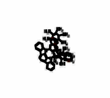 Bc1c(B)c(B)c(-c2cc(-c3c(B)c(B)c(B)c(O)c3B)cc(-n3c4ccccc4c4ccc5c6ccccc6n(-c6nc(-c7ccccc7)nc(-c7ccccc7)n6)c5c43)c2)c(B)c1B